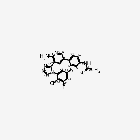 CC(=O)Nc1ccc(-c2cnc(N)c(-c3nnnn3-c3cc(F)cc(F)c3Cl)c2)cc1